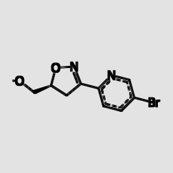 [O]C[C@@H]1CC(c2ccc(Br)cn2)=NO1